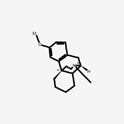 CCOc1ccc2c(c1)[C@@]13CCCCC1[C@@H](C2)N(C)CC3